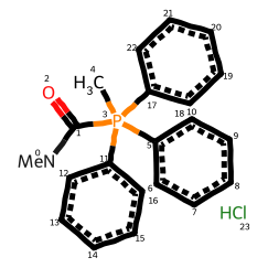 CNC(=O)P(C)(c1ccccc1)(c1ccccc1)c1ccccc1.Cl